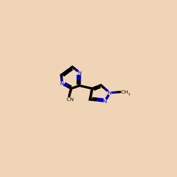 Cn1cc(-c2nccnc2C#N)cn1